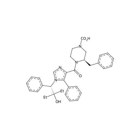 CCC(O)(CC)[C@H](c1ccccc1)n1cnc(C(=O)N2CCN(C(=O)O)C[C@H]2Cc2ccccc2)c1-c1ccccc1